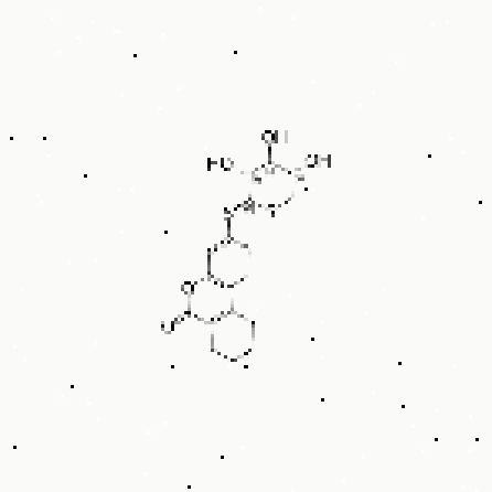 O=c1oc2cc(S[C@@H]3SC[C@@H](O)[C@H](O)[C@H]3O)ccc2c2c1CCCC2